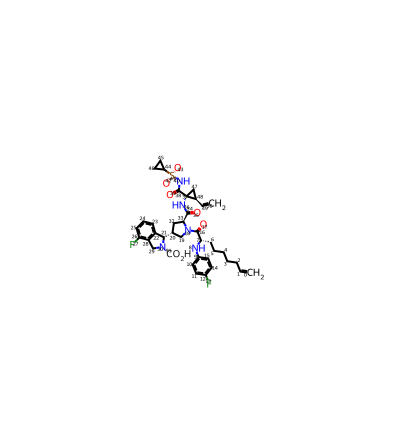 C=CCCCCC[C@H](Nc1ccc(F)cc1)C(=O)N1C[C@H](C2c3cccc(F)c3CN2C(=O)O)C[C@H]1C(=O)N[C@]1(C(=O)NS(=O)(=O)C2CC2)C[C@H]1C=C